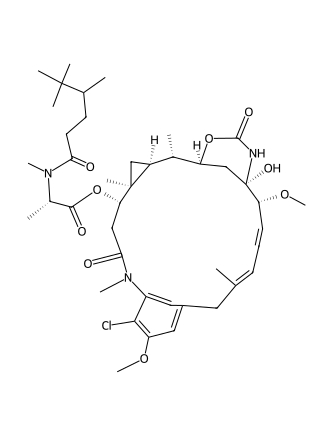 COc1cc2cc(c1Cl)N(C)C(=O)C[C@H](OC(=O)[C@H](C)N(C)C(=O)CCC(C)C(C)(C)C)[C@@]1(C)C[C@H]1[C@H](C)[C@@H]1C[C@@](O)(NC(=O)O1)[C@H](OC)/C=C/C=C(\C)C2